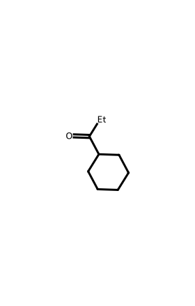 CCC(=O)C1CCCCC1